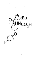 CC(C)[C@H](C(=O)N1CCC(Oc2ccc(F)cc2)CC1)C(NC(=O)O)C(C)(C)C